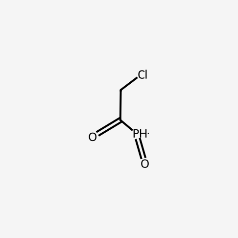 O=[PH]C(=O)CCl